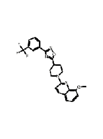 COc1cccc2ccc(N3CCC(c4nc(-c5cccc(C(F)(F)F)c5)no4)CC3)nc12